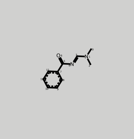 CN(C)C=NC(=O)c1ccccc1